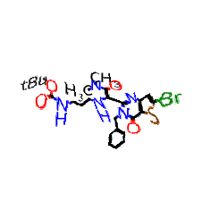 CN(C)C(=O)C(NCCCNC(=O)OC(C)(C)C)c1nc2cc(Br)sc2c(=O)n1Cc1ccccc1